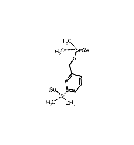 CC(C)(C)[Si](C)(C)OCc1cccc([Si](C)(C)C(C)(C)C)c1